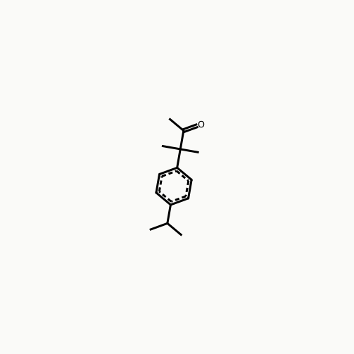 CC(=O)C(C)(C)c1ccc(C(C)C)cc1